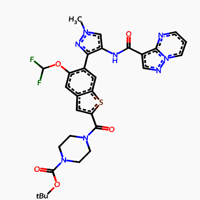 Cn1cc(NC(=O)c2cnn3cccnc23)c(-c2cc3sc(C(=O)N4CCN(C(=O)OC(C)(C)C)CC4)cc3cc2OC(F)F)n1